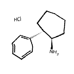 Cl.N[C@@H]1CCCCC[C@H]1c1ccccc1